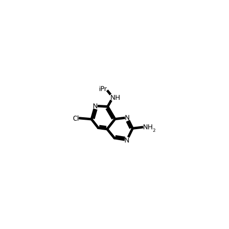 CC(C)Nc1nc(Cl)cc2cnc(N)nc12